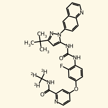 [2H]C([2H])([2H])NC(=O)c1cc(Oc2ccc(NC(=O)Nc3cc(C(C)(C)C)nn3-c3ccc4ncccc4c3)c(F)c2)ccn1